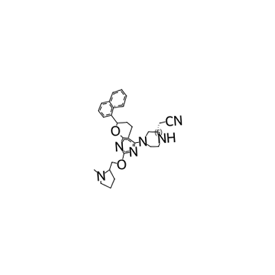 CN1CCCC1COc1nc2c(c(N3CCN[C@@H](CC#N)C3)n1)CCC(c1cccc3ccccc13)O2